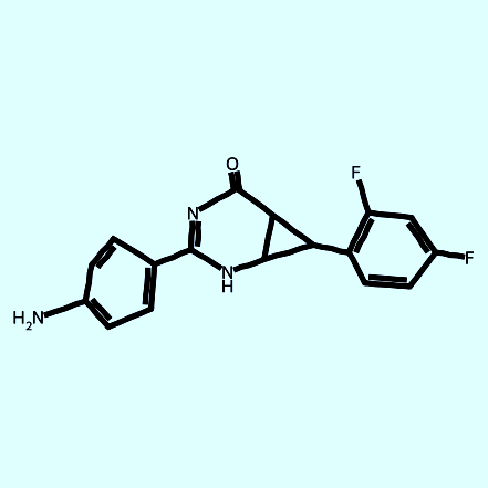 Nc1ccc(C2=NC(=O)C3C(N2)C3c2ccc(F)cc2F)cc1